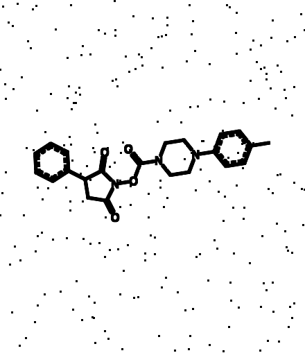 Cc1ccc(N2CCN(C(=O)ON3C(=O)CC(c4ccccc4)C3=O)CC2)cc1